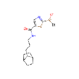 CC[S+]([O-])c1ncc(C(=O)NCCCC2C3CCC2CC3)s1